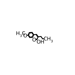 CCCC(=Cc1ccc(OC)cc1)C(=O)O